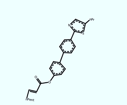 CCCCCC=CC(=O)Oc1ccc(-c2ccc(-c3ncc(CCC)s3)cc2)cc1